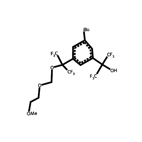 CCC(C)c1cc(C(O)(C(F)(F)F)C(F)(F)F)cc(C(OCOCCOC)(C(F)(F)F)C(F)(F)F)c1